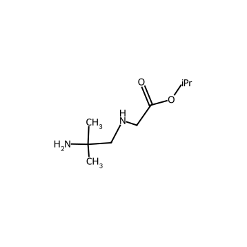 CC(C)OC(=O)CNCC(C)(C)N